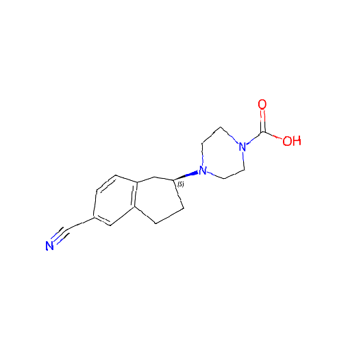 N#Cc1ccc2c(c1)CC[C@H](N1CCN(C(=O)O)CC1)C2